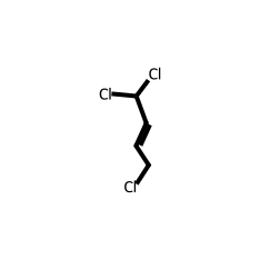 ClCC=CC(Cl)Cl